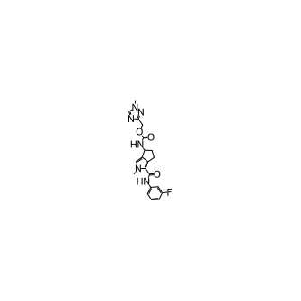 Cn1cnc(COC(=O)NC2CCc3c2cn(C)c3C(=O)Nc2cccc(F)c2)n1